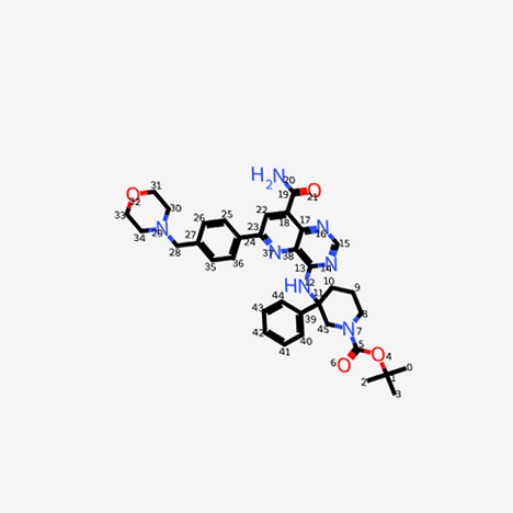 CC(C)(C)OC(=O)N1CCCC(Nc2ncnc3c(C(N)=O)cc(-c4ccc(CN5CCOCC5)cc4)nc23)(c2ccccc2)C1